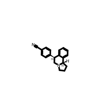 N#Cc1ccc([C@@H]2CN3CCC[C@H]3c3ccccc32)cc1